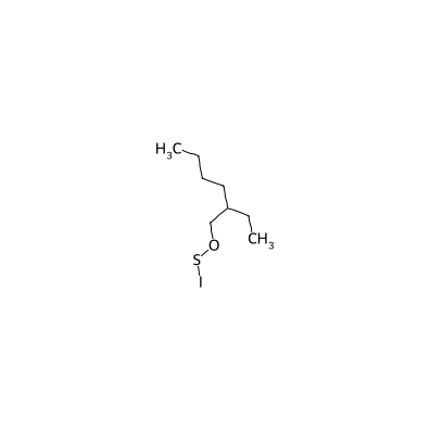 CCCCC(CC)COSI